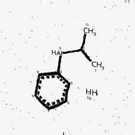 C[CH](C)[AlH][c]1ccccc1.[HH]